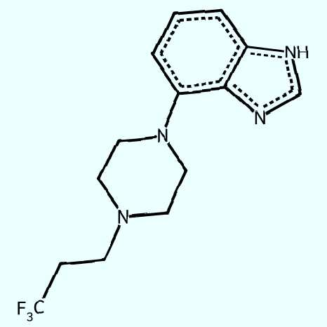 FC(F)(F)CCN1CCN(c2cccc3[nH]cnc23)CC1